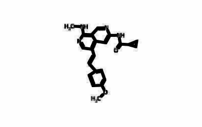 CNc1ncc(/C=C/c2ccc(OC)cc2)c2cc(NC(=O)C3CC3)ncc12